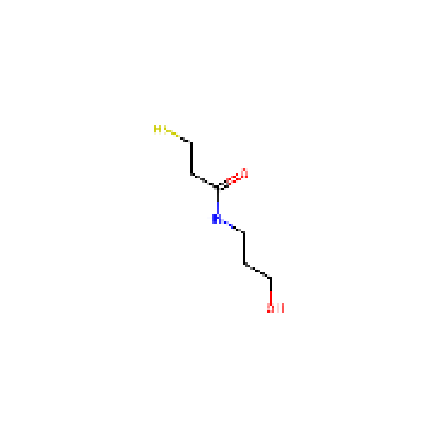 O=C(CCS)NCCCO